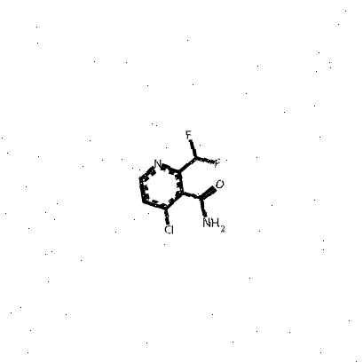 NC(=O)c1c(Cl)ccnc1C(F)F